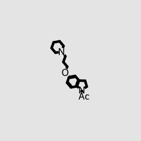 CC(=O)N1CCc2cc(OCCCN3CCCCC3)ccc21